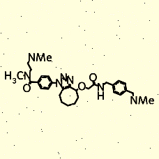 CNCCN(C)C(=O)c1ccc(-n2nnc3c2CCCCCC3OCC(=O)NCc2ccc(CNC)cc2)cc1